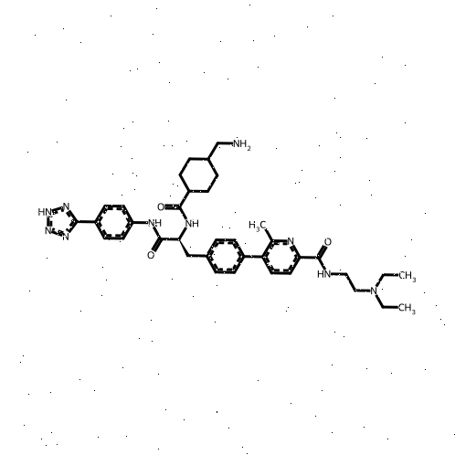 CCN(CC)CCNC(=O)c1ccc(-c2ccc(C[C@H](NC(=O)C3CCC(CN)CC3)C(=O)Nc3ccc(-c4nn[nH]n4)cc3)cc2)c(C)n1